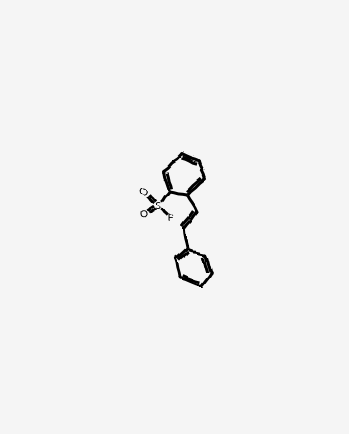 O=S(=O)(F)c1ccccc1/C=C/c1ccccc1